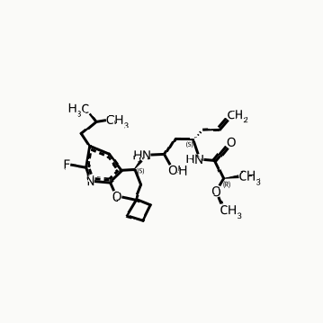 C=CC[C@@H](CC(O)N[C@H]1CC2(CCC2)Oc2nc(F)c(CC(C)C)cc21)NC(=O)[C@@H](C)OC